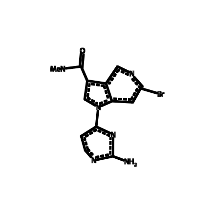 CNC(=O)c1cn(-c2ccnc(N)n2)c2cc(Br)ncc12